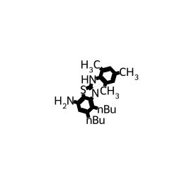 CCCCc1cc(N)c2sc(Nc3c(C)cc(C)cc3C)nc2c1CCCC